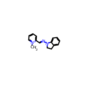 C[n+]1ccccc1C=NN1CCc2ccccc21